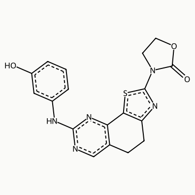 O=C1OCCN1c1nc2c(s1)-c1nc(Nc3cccc(O)c3)ncc1CC2